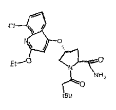 CCOc1cc(O[C@@H]2CC(C(N)=O)N(C(=O)CC(C)(C)C)C2)c2cccc(Cl)c2n1